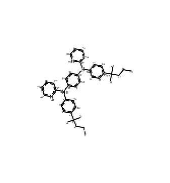 CCCC(C)(C)c1ccc(N(c2ccc(N(c3ccc(C(C)(C)CCC)cc3)c3ccccn3)cc2)c2ccccn2)cc1